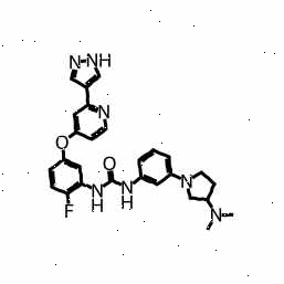 CN(C)C1CCN(c2cccc(NC(=O)Nc3cc(Oc4ccnc(-c5cn[nH]c5)c4)ccc3F)c2)C1